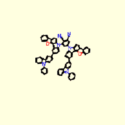 N#Cc1cc(-n2c3ccc(-c4ccc5c(c4)c4ccccc4n5-c4ccccc4)cc3c3c4oc5ccccc5c4ccc32)cc(-n2c3ccc(-c4ccc5c(c4)c4ccccc4n5-c4ccccc4)cc3c3c4oc5ccccc5c4ccc32)c1C#N